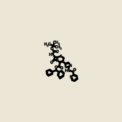 CC(C)(C)OC(=O)NC1C(=O)N2C(C(=O)OC(c3ccccc3)c3ccccc3)=C(c3cnc(NC(=O)c4ccccn4)s3)CSC12